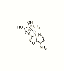 C[C@@]1(O)[C@H](O)C(O)O[C@H]1c1noc2c(N)ncnc12